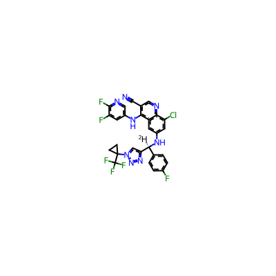 [2H][C@](Nc1cc(Cl)c2ncc(C#N)c(Nc3cnc(F)c(F)c3)c2c1)(c1ccc(F)cc1)c1cn(C2(C(F)(F)F)CC2)nn1